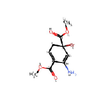 COC(=O)C1=CCC(Br)(C(=O)OC)C=C1N